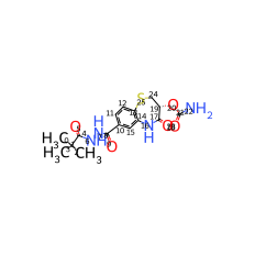 CC(C)(C)C(=O)NNC(=O)c1ccc2c(c1)NC(=O)[C@@H](OC(N)=O)CS2